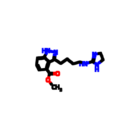 COC(=O)c1cccc2[nH]nc(CCCCNC3=NCCN3)c12